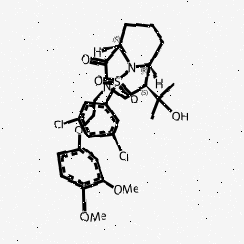 COc1ccc(OCCN2C[C@H](C(C)(C)O)[C@H]3CCC[C@@H](C2=O)N3S(=O)(=O)c2cc(Cl)cc(Cl)c2)cc1OC